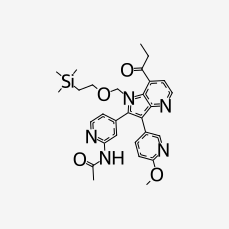 CCC(=O)c1ccnc2c(-c3ccc(OC)nc3)c(-c3ccnc(NC(C)=O)c3)n(COCC[Si](C)(C)C)c12